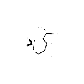 CC(=O)N[C@@H](C=O)[C@H]1OS(=O)(=O)OC[C@@H](O)[C@@H]1O